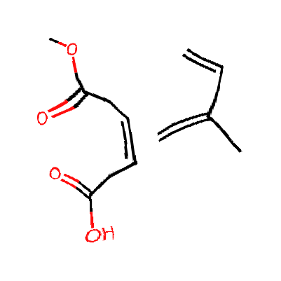 C=CC(=C)C.COC(=O)/C=C\C(=O)O